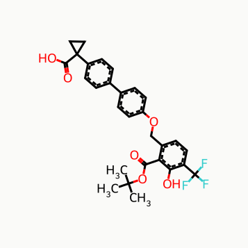 CC(C)(C)OC(=O)c1c(COc2ccc(-c3ccc(C4(C(=O)O)CC4)cc3)cc2)ccc(C(F)(F)F)c1O